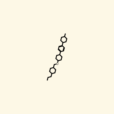 CCCC1CCC(COC2CCC(c3ccc(C4CCC(C)CC4)cc3)CC2)CC1